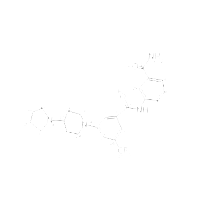 NC(=O)c1cccc(NC(=O)c2cc(N3CCC(N4CCCC4)CC3)cc(C(F)(F)F)c2)c1